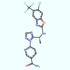 C[C@H](Nc1nc2cc(C(F)(F)F)c(Cl)cc2o1)c1ncnn1-c1ccc(C(N)=O)cn1